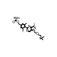 CNC(=O)OCc1cc(C)c(-c2ncc3c(n2)c(I)nn3COCC[Si](C)(C)C)c(F)c1